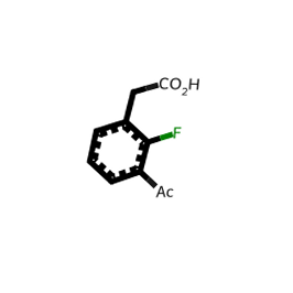 CC(=O)c1cccc(CC(=O)O)c1F